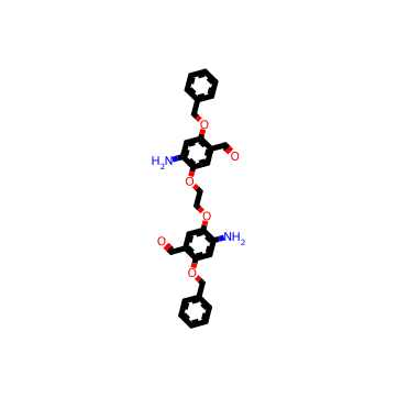 Nc1cc(OCc2ccccc2)c(C=O)cc1OCCOc1cc(C=O)c(OCc2ccccc2)cc1N